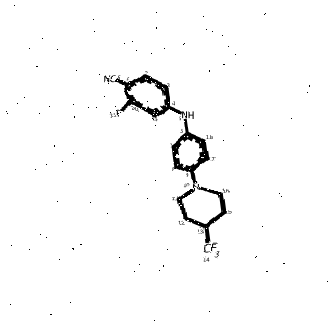 N#Cc1ccc(Nc2ccc(N3CCC(C(F)(F)F)CC3)cc2)cc1F